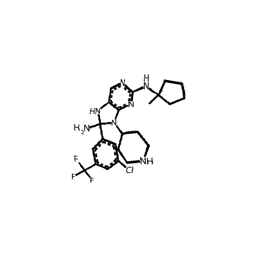 CC1(Nc2ncc3c(n2)N(C2CCNCC2)C(N)(c2cc(Cl)cc(C(F)(F)F)c2)N3)CCCC1